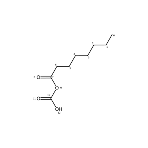 CCCCCCCC(=O)OC(=O)O